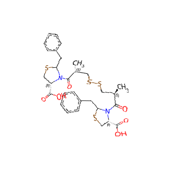 C[C@H](CSSC[C@@H](C)C(=O)N1C(Cc2ccccc2)SC[C@H]1C(=O)O)C(=O)N1C(Cc2ccccc2)SC[C@H]1C(=O)O